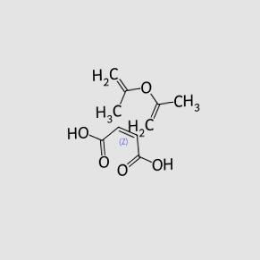 C=C(C)OC(=C)C.O=C(O)/C=C\C(=O)O